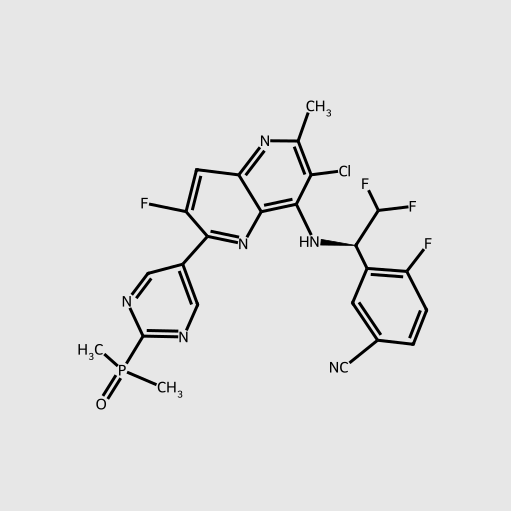 Cc1nc2cc(F)c(-c3cnc(P(C)(C)=O)nc3)nc2c(N[C@H](c2cc(C#N)ccc2F)C(F)F)c1Cl